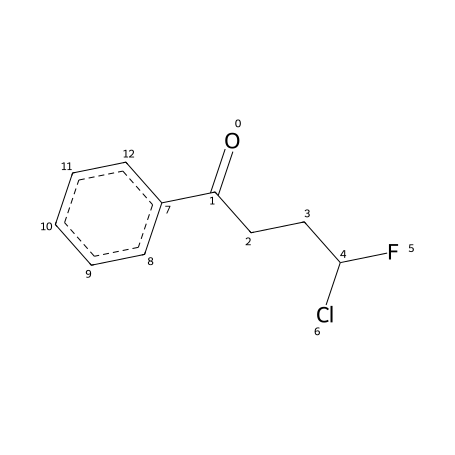 O=C(CCC(F)Cl)c1ccccc1